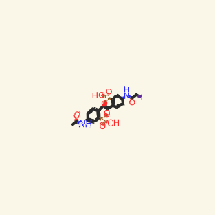 CC(=O)Nc1ccc(C=Cc2ccc(NC(=O)CI)cc2S(=O)(=O)O)c(S(=O)(=O)O)c1